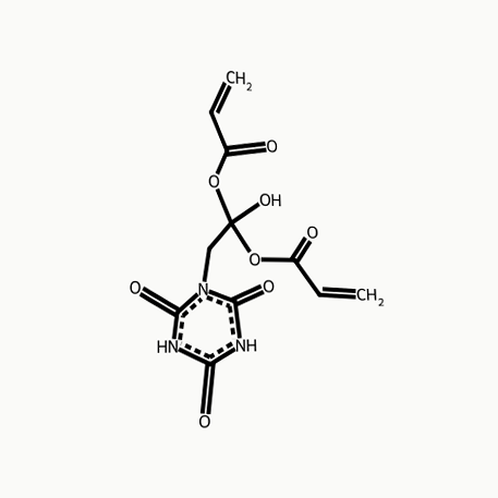 C=CC(=O)OC(O)(Cn1c(=O)[nH]c(=O)[nH]c1=O)OC(=O)C=C